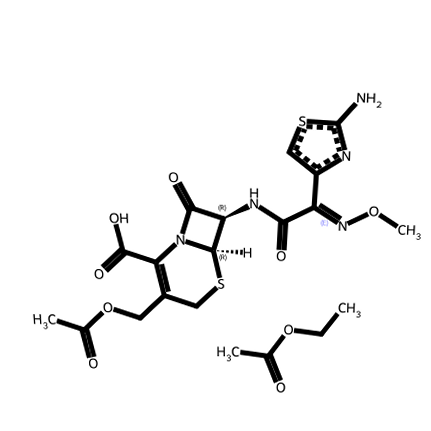 CCOC(C)=O.CO/N=C(/C(=O)N[C@@H]1C(=O)N2C(C(=O)O)=C(COC(C)=O)CS[C@H]12)c1csc(N)n1